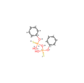 OP(=S)(Oc1ccccc1)OP(O)(=S)Oc1ccccc1